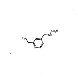 O=C(O)NCc1ccnc(CC(F)(F)F)c1